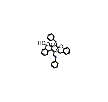 O=C(O)c1ccccc1-c1c(/C=C/c2ccccc2)n(Cc2ccccc2)c(=O)n(Cc2ccccc2)c1=O